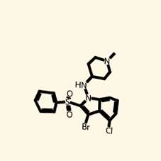 CN1CCC(Nn2c(S(=O)(=O)c3ccccc3)c(Br)c3c(Cl)cccc32)CC1